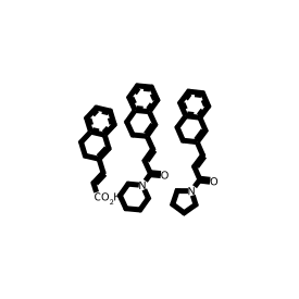 O=C(C=CC1=Cc2ccccc2CC1)N1CCCC1.O=C(C=CC1=Cc2ccccc2CC1)N1CCCCC1.O=C(O)C=CC1=Cc2ccccc2CC1